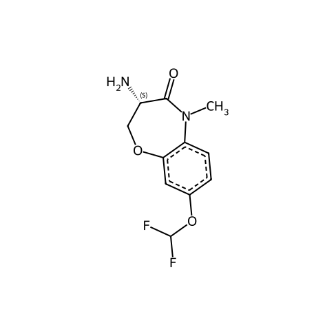 CN1C(=O)[C@@H](N)COc2cc(OC(F)F)ccc21